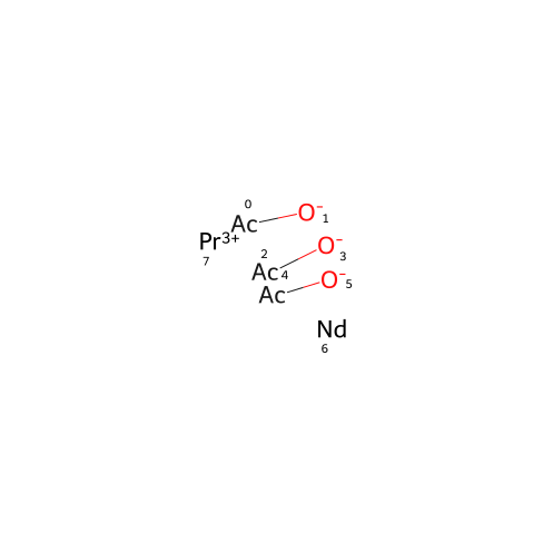 CC(=O)[O-].CC(=O)[O-].CC(=O)[O-].[Nd].[Pr+3]